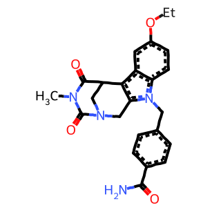 CCOc1ccc2c(c1)c1c(n2Cc2ccc(C(N)=O)cc2)CN2CC1C(=O)N(C)C2=O